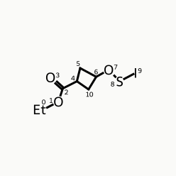 CCOC(=O)C1CC(OSI)C1